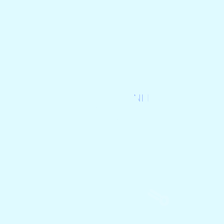 O=CCC1CCc2c1[nH]c1ccc(F)cc21